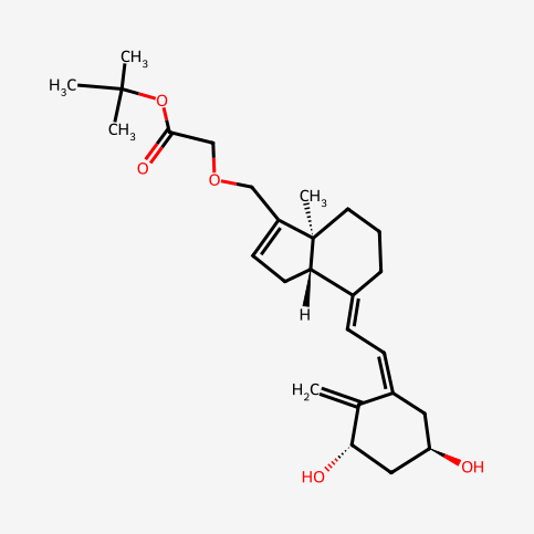 C=C1C(=CC=C2CCC[C@]3(C)C(COCC(=O)OC(C)(C)C)=CC[C@@H]23)C[C@@H](O)C[C@@H]1O